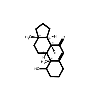 C[C@@]12CCC[C@H]1[C@@H]1C(=O)C=C3CCCC(O)[C@]3(C)[C@H]1CC2